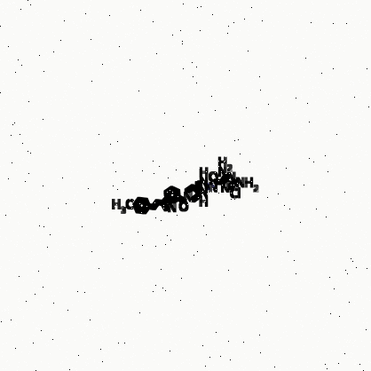 Cc1ccc(CCC2C=Nc3c(C(=O)N4CCC5(CC4)CN/C(=N\C(=O)c4nc(Cl)c(N)nc4N)N5)cccc32)cc1